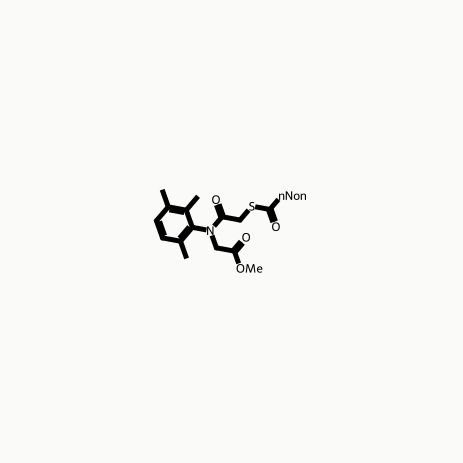 CCCCCCCCCC(=O)SCC(=O)N(CC(=O)OC)c1c(C)ccc(C)c1C